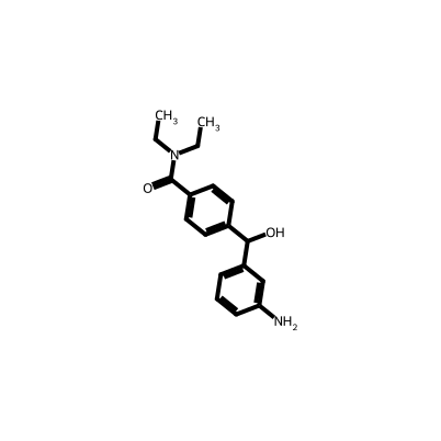 CCN(CC)C(=O)c1ccc(C(O)c2cccc(N)c2)cc1